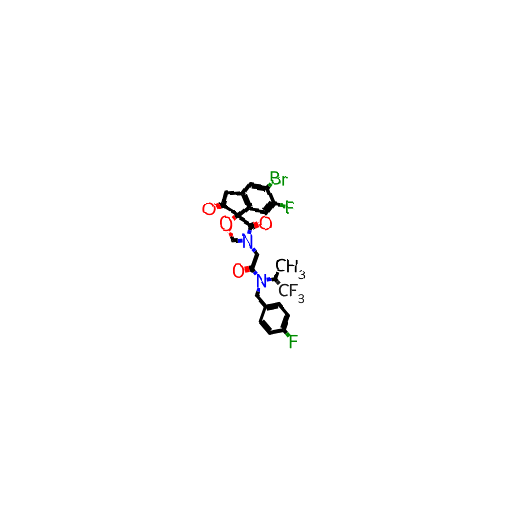 CC(N(Cc1ccc(F)cc1)C(=O)CN1COC2(C(=O)Cc3cc(Br)c(F)cc32)C1=O)C(F)(F)F